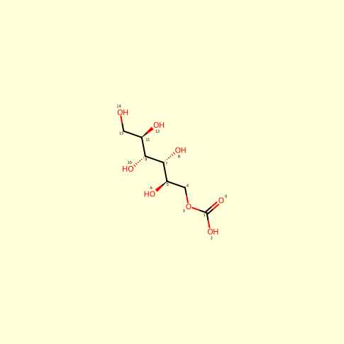 O=C(O)OC[C@@H](O)[C@@H](O)[C@H](O)[C@H](O)CO